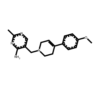 COc1ccc(C2=CCN(Cc3cnc(C)nc3N)CC2)cc1